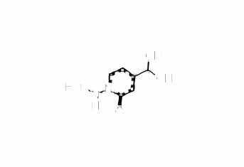 CNn1ccc(C(C)C)cc1=O